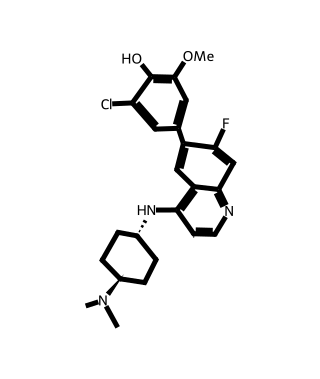 COc1cc(-c2cc3c(N[C@H]4CC[C@H](N(C)C)CC4)[c]cnc3cc2F)cc(Cl)c1O